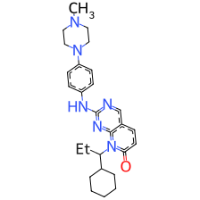 CCC(C1CCCCC1)n1c(=O)ccc2cnc(Nc3ccc(N4CCN(C)CC4)cc3)nc21